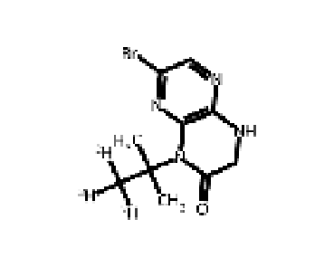 [2H]C([2H])([2H])C(C)(C)N1C(=O)CNc2ncc(Br)nc21